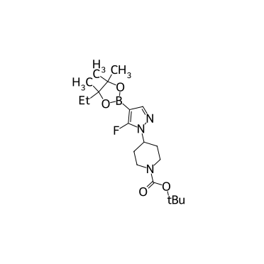 CCC1(C)OB(c2cnn(C3CCN(C(=O)OC(C)(C)C)CC3)c2F)OC1(C)C